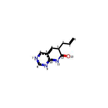 C=CCC1C=c2cncnc2=NC1=O